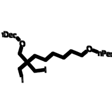 CCCCCCCCCCOCC(CI)(CI)CCCCCCOCCCCC